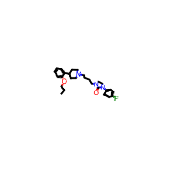 CCCOc1ccccc1C1CCN(CCCCN2CCN(c3ccc(F)cc3)C2=O)CC1